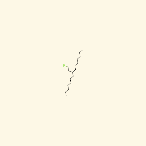 CCCCCCCC(CCF)CCCCCCC